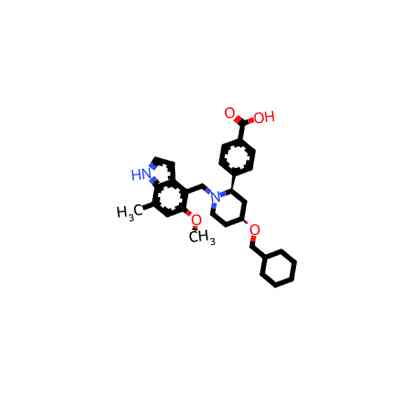 COc1cc(C)c2[nH]ccc2c1CN1CC[C@@H](OCC2CCCCC2)C[C@@H]1c1ccc(C(=O)O)cc1